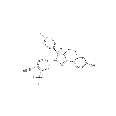 N#Cc1ccc(N2N=C3c4ccc(O)cc4CC[C@@H]3[C@@H]2c2ccc(F)cc2)cc1C(F)(F)F